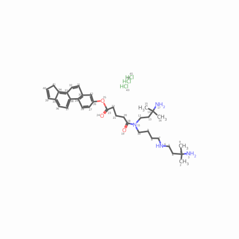 CC(C)(N)CCNCCCCN(CCC(C)(C)N)C(=O)CCCC(=O)Oc1ccc2c(ccc3c4c(ccc32)C=CC4)c1.Cl.Cl.Cl